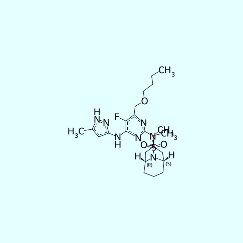 CCCCOCc1nc(N(C)[C@@H]2C[C@H]3CCC[C@@H](C2)N3S(=O)(=O)CC)nc(Nc2cc(C)[nH]n2)c1F